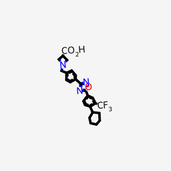 O=C(O)C1CN(Cc2ccc(-c3noc(-c4ccc(C5CCCCC5)c(C(F)(F)F)c4)n3)cc2)C1